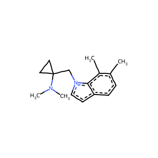 Cc1ccc2ccn(CC3(N(C)C)CC3)c2c1C